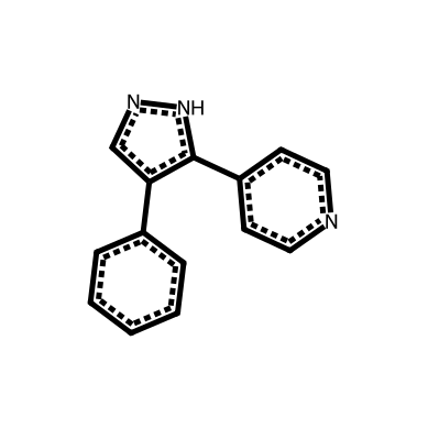 c1ccc(-c2cn[nH]c2-c2ccncc2)cc1